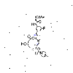 COCC(=O)Nc1cc(F)cc(/C=C(\C)[C@H]2OC(=O)C[C@@H](O)CC[C@@H](C)[C@@H](OC(=O)N3CCN(C)CC3)/C=C/[C@@H]2C)c1